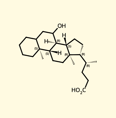 C[C@H](CCC(=O)O)[C@H]1CC[C@H]2[C@@H]3C(O)CC4CCCC[C@]4(C)[C@H]3CC[C@]12C